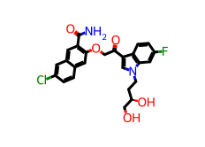 NC(=O)c1cc2cc(Cl)ccc2cc1OCC(=O)c1cn(CC[C@@H](O)CO)c2cc(F)ccc12